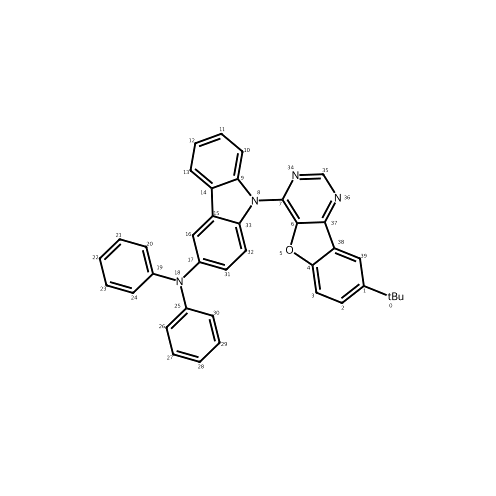 CC(C)(C)c1ccc2oc3c(-n4c5ccccc5c5cc(N(c6ccccc6)c6ccccc6)ccc54)ncnc3c2c1